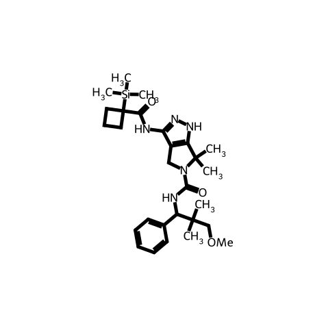 COCC(C)(C)C(NC(=O)N1Cc2c(NC(=O)C3([Si](C)(C)C)CCC3)n[nH]c2C1(C)C)c1ccccc1